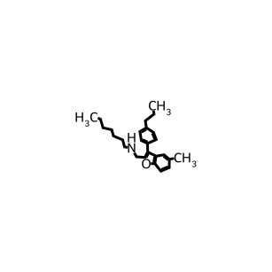 CCCCCCCNCc1oc2ccc(C)cc2c1-c1ccc(CCC)cc1